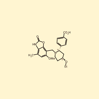 CCO[C@H]1CCN(Cc2c(OC)cc(C)c3[nH]c(=O)oc23)[C@H](c2ccc(C(=O)O)cc2)C1